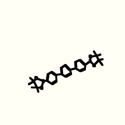 CC1(C)OB(c2ccc(-c3ccc(-c4ccc(B5OC(C)(C)C(C)(C)O5)cc4)cc3)cc2)OC1(C)C